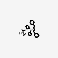 C(C=Cc1ccccc1)=Cc1ccccc1.C1=CC[C]([Zr][C]2=CC=CC2)=C1.CC(C)[N]([In])C(C)C